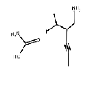 CC#CC(CN)C(C)I.NC(=O)O